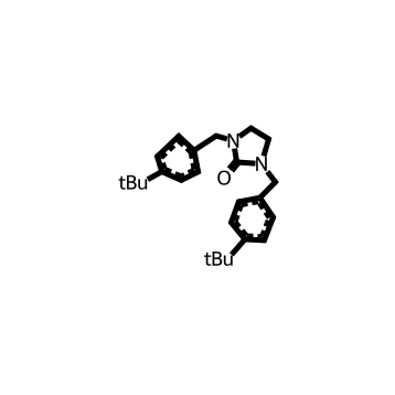 CC(C)(C)c1ccc(CN2CCN(Cc3ccc(C(C)(C)C)cc3)C2=O)cc1